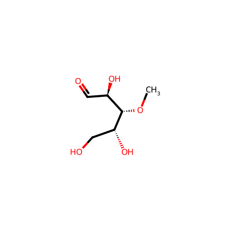 CO[C@@H]([C@H](O)C=O)[C@H](O)CO